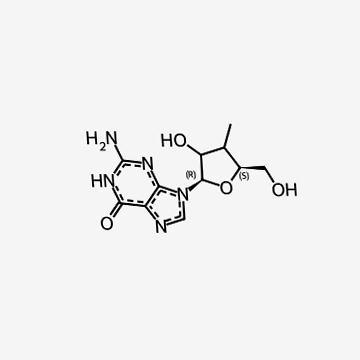 CC1C(O)[C@H](n2cnc3c(=O)[nH]c(N)nc32)O[C@@H]1CO